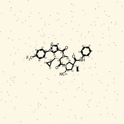 C=C[C@]1(C(=O)Nc2ccccc2)C[C@@H](C#N)N(C(=O)[C@H](CC2CC2)N(C)C(=O)c2cnn(-c3ccc(C(F)(F)F)cc3)c2)C1